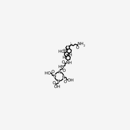 C[C@H](CCC(N)=O)[C@H]1CC[C@@H]2C1CC[C@H]1C2[C@H](O)C[C@@H]2CC(NC(=O)CNC(=O)CN3CCN(CC(=O)O)CCN(CC(=O)O)CCN(CC(=O)O)CC3)CCC21C